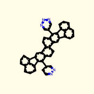 c1cc2c3c(cccc3c1)-c1c-2cc2c(ccc3c4cc5c(c(-c6cnnnc6)c4ccc23)-c2cccc3cccc-5c23)c1-c1ccnnc1